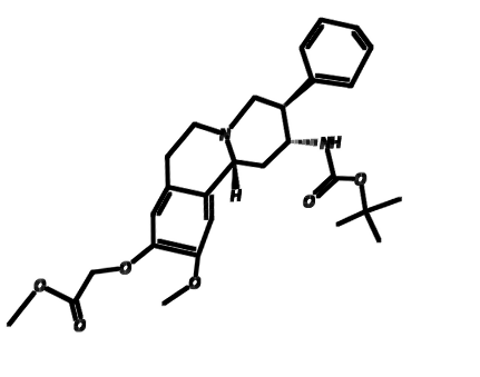 COC(=O)COc1cc2c(cc1OC)[C@H]1C[C@@H](NC(=O)OC(C)(C)C)[C@H](c3ccccc3)CN1CC2